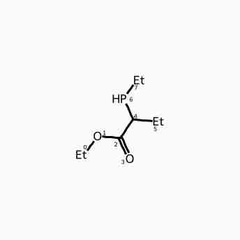 CCOC(=O)C(CC)PCC